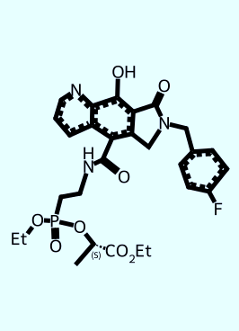 CCOC(=O)[C@H](C)OP(=O)(CCNC(=O)c1c2c(c(O)c3ncccc13)C(=O)N(Cc1ccc(F)cc1)C2)OCC